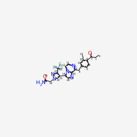 CCC(=O)c1ccc(Cc2nccn3c(-c4cn(CC(N)=O)nc4C(F)(F)F)cnc23)cc1C